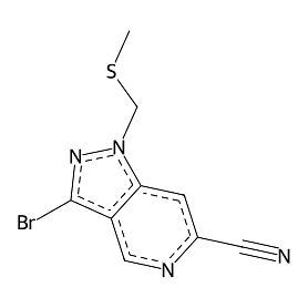 CSCn1nc(Br)c2cnc(C#N)cc21